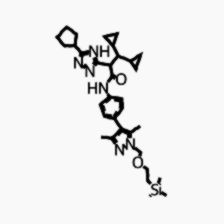 Cc1nn(COCC[Si](C)(C)C)c(C)c1-c1ccc(NC(=O)C(c2nnc(C3CCCC3)[nH]2)C(C2CC2)C2CC2)cc1